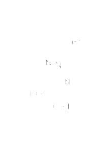 CCOC(=O)c1cnc2c(cnn2CCC(C)C)c1O